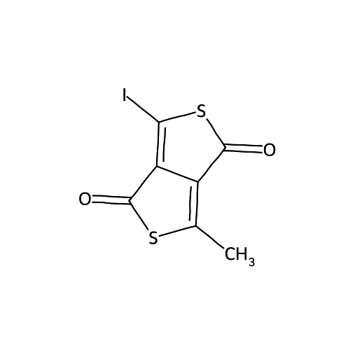 CC1=C2C(=O)SC(I)=C2C(=O)S1